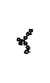 CC1(C)c2ccccc2-c2ccc(-c3ccc(N(c4ccc(-c5ccc6oc7ccccc7c6c5)cc4)c4cc5ccccc5c5ccccc45)cc3)cc21